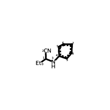 CCC(C#N)Nc1ccccc1